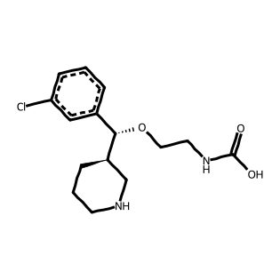 O=C(O)NCCO[C@@H](c1cccc(Cl)c1)[C@@H]1CCCNC1